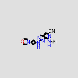 CC(C)Nc1nc(C#N)cc2cnc(N[C@H]3C[C@H](N4CCOCC4)C3)nc12